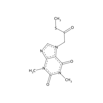 CSC(=O)Cn1cnc2c1c(=O)n(C)c(=O)n2C